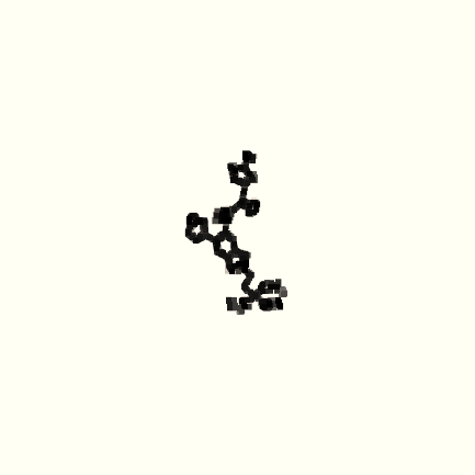 CC(C)(O)CCn1cc2cc(NC(=O)c3csc(Br)n3)c(-c3ccoc3)cc2n1